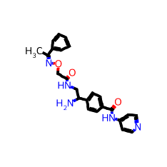 CC(=NOCC(=O)NCC(N)c1ccc(C(=O)Nc2ccncc2)cc1)c1ccccc1